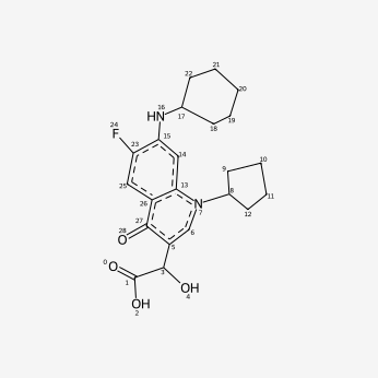 O=C(O)C(O)c1cn(C2CCCC2)c2cc(NC3CCCCC3)c(F)cc2c1=O